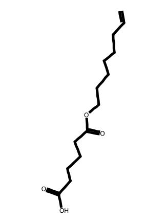 C=CCCCCCCOC(=O)CCCCC(=O)O